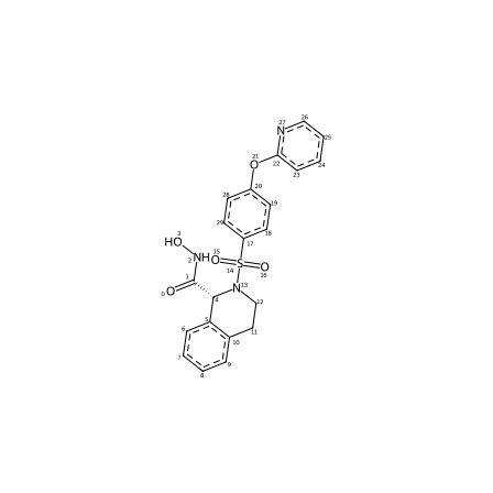 O=C(NO)[C@H]1c2ccccc2CCN1S(=O)(=O)c1ccc(Oc2ccccn2)cc1